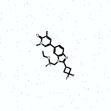 CCO[C@H](C)Cn1c(C2CC(F)(F)C2)nc2ccc(-c3cc(C)c(=O)n(C)c3)cc21